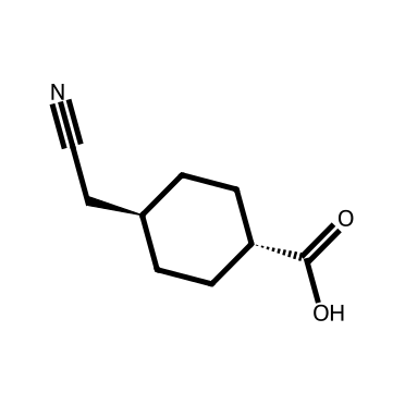 N#CC[C@H]1CC[C@H](C(=O)O)CC1